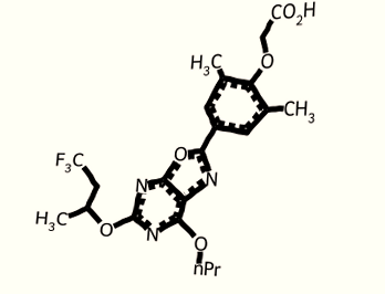 CCCOc1nc(OC(C)CC(F)(F)F)nc2oc(-c3cc(C)c(OCC(=O)O)c(C)c3)nc12